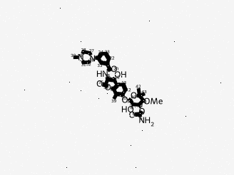 CO[C@@H]1[C@@H](OC(N)=O)[C@@H](O)[C@H](Oc2ccc3c(O)c(NC(=O)c4cccc(N5CCN(C)CC5)c4)c(=O)oc3c2C)OC1(C)C